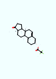 C[C@]12CC[C@H](OC(=O)C(F)(F)F)CC1=CC[C@@H]1[C@@H]2CC[C@]2(C)C(=O)CC[C@@H]12